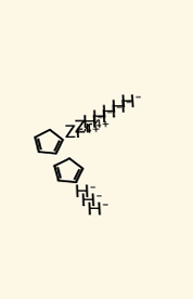 C1=CCC=C1.C1=CCC=C1.[H-].[H-].[H-].[H-].[H-].[H-].[H-].[H-].[Zr+4].[Zr+4]